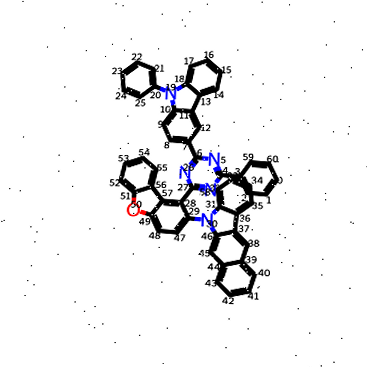 c1ccc(-c2nc(-c3ccc4c(c3)c3ccccc3n4-c3ccccc3)nc(-c3c(-n4c5ccccc5c5cc6ccccc6cc54)ccc4oc5ccccc5c34)n2)cc1